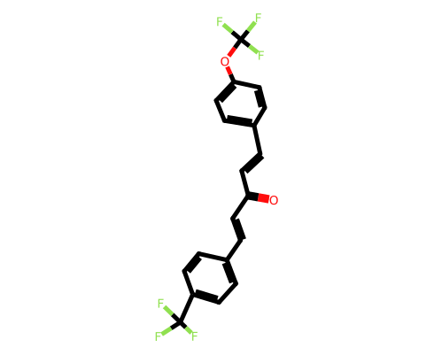 O=C(C=Cc1ccc(OC(F)(F)F)cc1)C=Cc1ccc(C(F)(F)F)cc1